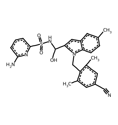 Cc1ccc2c(c1)cc(C(O)NS(=O)(=O)c1cccc(N)n1)n2Cc1c(C)cc(C#N)cc1C